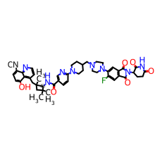 CC1(C)CC(C)(Cc2ccnc3c(C#N)ccc(O)c23)[C@H]1NC(=O)c1ccc(N2CCC(CN3CCN(c4cc5c(cc4F)C(=O)N(C4CCC(=O)NC4=O)C5=O)CC3)CC2)nc1